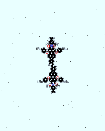 C=C(C)c1cc(C(C)C)c(N2C(=O)c3cc(Oc4ccc(C(C)(C)C)cc4)c4c5ccc6c7c(ccc(c8c(Oc9ccc(C(C)(C)C)cc9)cc(c3c48)C2=O)c75)-c2cc(CCc3cc4c(cc3C)-c3ccc5c7c(Oc8ccc(C(C)(C)C)cc8)cc8c9c(cc(Oc%10ccc(C(C)(C)C)cc%10)c(c%10ccc-4c3c5%10)c97)C(=O)N(c3c(C(C)C)cc(C(=C)C)cc3C(C)C)C8=O)c(C)cc2-6)c(C(C)C)c1